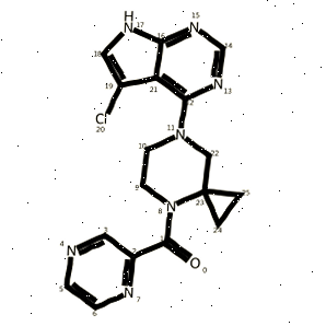 O=C(c1cnccn1)N1CCN(c2ncnc3[nH]cc(Cl)c23)CC12CC2